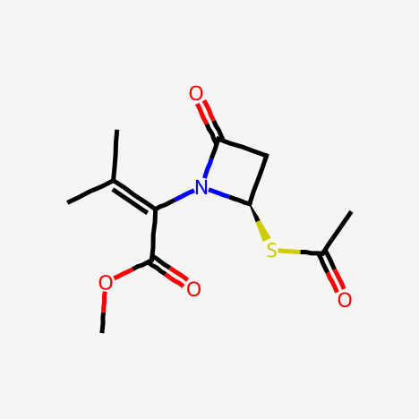 COC(=O)C(=C(C)C)N1C(=O)C[C@H]1SC(C)=O